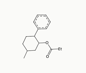 CCC(=O)OC1CC(C)CCC1c1ccccc1